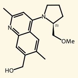 COC[C@@H]1CCCN1c1cc(C)nc2cc(CO)c(C)cc12